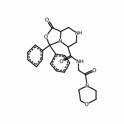 O=C(NCC(=O)N1CCOCC1)C1CNCC2C(=O)OC(c3ccccc3)(c3ccccc3)N12